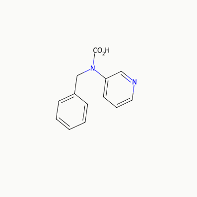 O=C(O)N(Cc1ccccc1)c1cccnc1